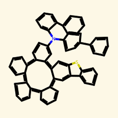 c1ccc(-c2ccc(N(c3ccc4c5ccccc5c5ccccc5c5ccccc5c5cc6c(cc5c4c3)sc3ccccc36)c3ccccc3-c3ccccc3)cc2)cc1